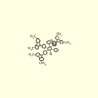 Cc1ccc2c(c1)c1cc(C)ccc1n2-c1ccc(-c2c(C#N)c(-c3ccncc3)c(-c3ccc(-n4c5ccc(C)cc5c5cc(C)ccc54)cc3)c(-c3cccc4sc5ccccc5c34)c2-c2ccc(-n3c4ccc(C)cc4c4cc(C)ccc43)cc2)cc1